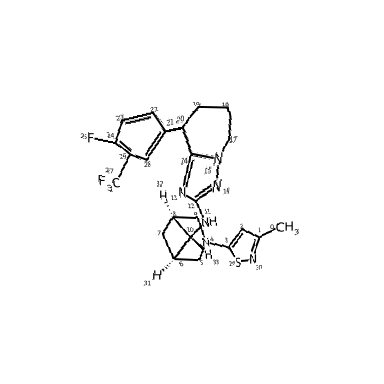 Cc1cc(N2C[C@H]3C[C@@H](C2)[C@@H]3Nc2nc3n(n2)CCCC3c2ccc(F)c(C(F)(F)F)c2)sn1